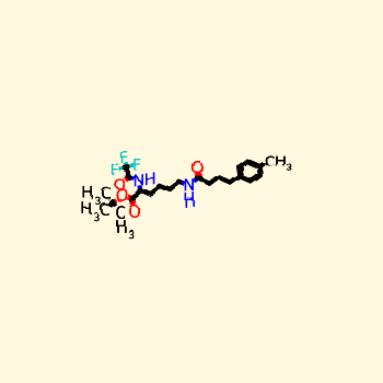 Cc1ccc(CCCC(=O)NCCCCC(NC(=O)C(F)(F)F)C(=O)OC(C)(C)C)cc1